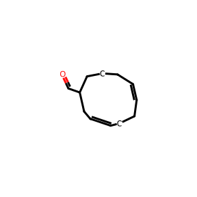 O=CC1CC=CCCC=CCCC1